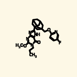 CCCn1c(OC)nc2nc(C34CC5CC(CC(COc6ccc(F)cn6)(C5)C3)C4)[nH]c2c1=O